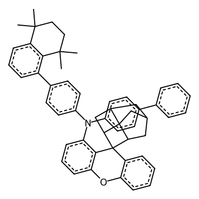 CC1(C)CCC(C)(C)c2c(-c3ccc(N(c4ccc(-c5ccccc5)cc4)c4cccc5c4C4(c6ccccc6O5)C5CC6CC7CC4C75C6)cc3)cccc21